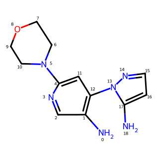 Nc1cnc(N2CCOCC2)cc1-n1nccc1N